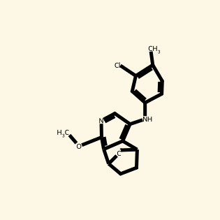 COc1ncc(Nc2ccc(C)c(Cl)c2)c2c1C1CCC2CC1